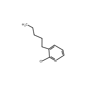 [CH2]CCCCc1cccnc1Cl